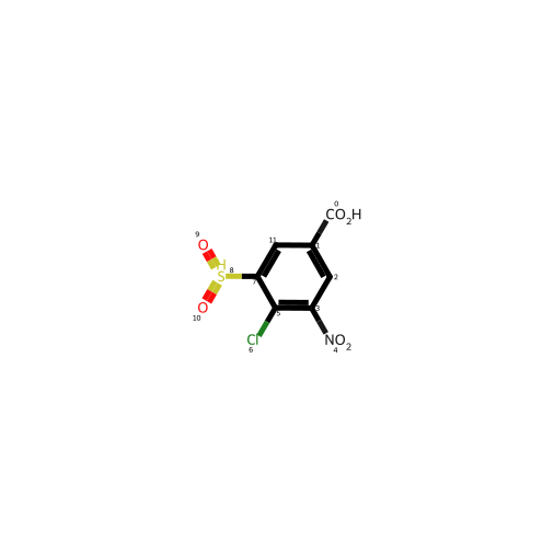 O=C(O)c1cc([N+](=O)[O-])c(Cl)c([SH](=O)=O)c1